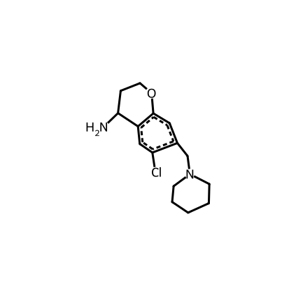 NC1CCOc2cc(CN3CCCCC3)c(Cl)cc21